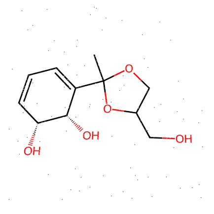 CC1(C2=CC=C[C@@H](O)[C@H]2O)OCC(CO)O1